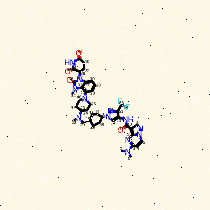 CN(C)c1ccn2ncc(C(=O)Nc3cn([C@H]4CC[C@H](CN(C)C5CCN(c6cccc7c6n(C)c(=O)n7C6CCC(=O)NC6=O)CC5)CC4)nc3C(F)F)c2n1